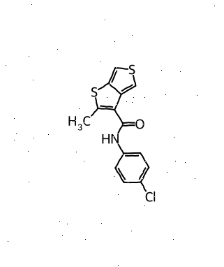 Cc1sc2cscc2c1C(=O)Nc1ccc(Cl)cc1